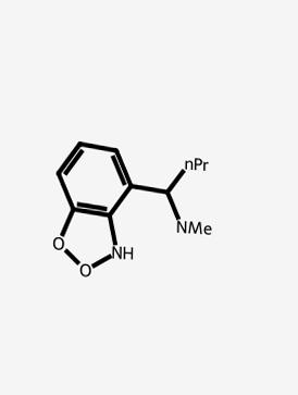 CCCC(NC)c1cccc2c1NOO2